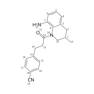 CC1Cc2cccc(N)c2N(C(=O)CCc2ccc(C#N)cc2)C1